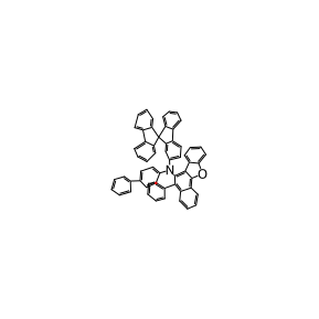 c1ccc(-c2ccc(N(c3ccc4c(c3)C3(c5ccccc5-c5ccccc53)c3ccccc3-4)c3c(-c4ccccc4)c4ccccc4c4oc5ccccc5c34)cc2)cc1